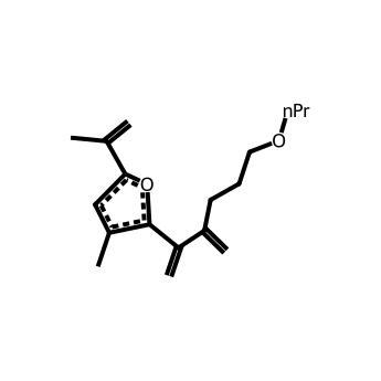 C=C(CCCOCCC)C(=C)c1oc(C(=C)C)cc1C